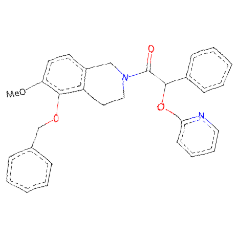 COc1ccc2c(c1OCc1ccccc1)CCN(C(=O)C(Oc1ccccn1)c1ccccc1)C2